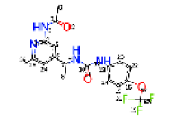 CC(=O)Nc1cc(C(C)NC(=O)Nc2ccc(OC(F)(F)F)cc2)cc(C)n1